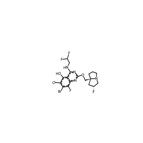 Oc1c(Cl)c(Br)c(F)c2nc(OC[C@@]34CCCN3C[C@H](F)C4)nc(NCC(F)F)c12